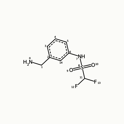 NCc1cccc(NS(=O)(=O)C(F)F)c1